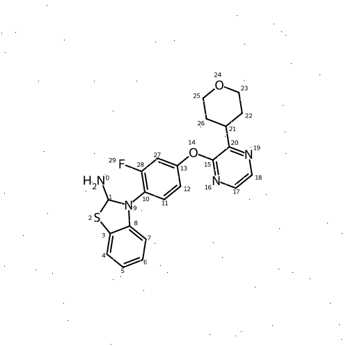 NC1Sc2ccccc2N1c1ccc(Oc2nccnc2C2CCOCC2)cc1F